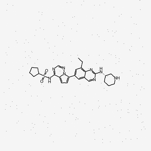 CCc1cc(-c2ccc3c(NS(=O)(=O)C4CCCC4)ncnn23)cc2cnc(N[C@H]3CCCNC3)nc12